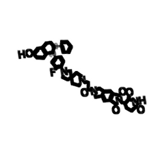 O=C1CCC(N2C(=O)c3cc4c(cc3C2=O)CN(C(=O)CN2CCC3(CC2)CCN(c2ccc([C@@H]5c6ccc(O)cc6CC[C@@H]5c5ccccc5)cc2F)C3)C4)C(=O)N1